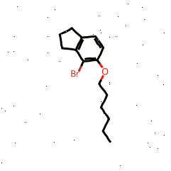 CCCCCCOc1ccc2c(c1Br)CCC2